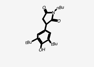 CCCCN1C(=O)CC(c2cc(C(C)(C)C)c(O)c(C(C)(C)C)c2)C1=O